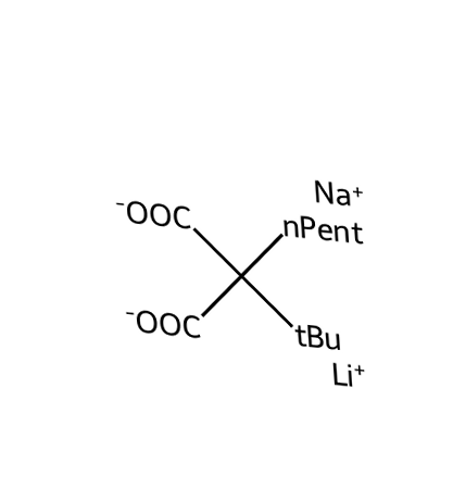 CCCCCC(C(=O)[O-])(C(=O)[O-])C(C)(C)C.[Li+].[Na+]